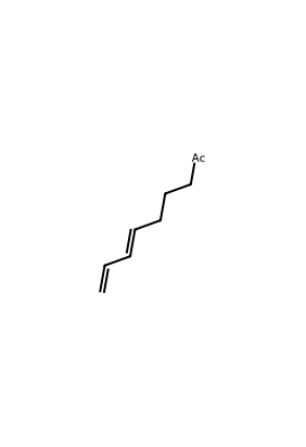 C=CC=CCCCC(C)=O